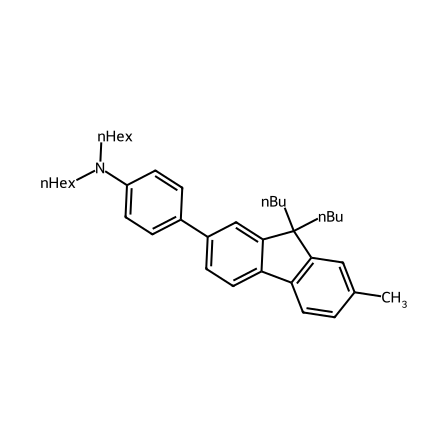 CCCCCCN(CCCCCC)c1ccc(-c2ccc3c(c2)C(CCCC)(CCCC)c2cc(C)ccc2-3)cc1